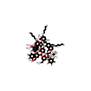 CC(C)(C)OC(=O)[C@](Cc1ccc(OCC=CC=S)cc1)(C(=O)Nc1c(F)c(F)c(F)c(F)c1F)N(c1cc(N(c2ccc(CN)cc2C(=O)O)[C@@](Cc2ccc(OCC=CC=S)cc2)(C(=O)Nc2c(F)c(F)c(F)c(F)c2F)C(=O)OC(C)(C)C)cc(N(c2ccc(CN)cc2C(=O)O)[C@@](Cc2ccc(OCC=CC=S)cc2)(C(=O)Nc2c(F)c(F)c(F)c(F)c2F)C(=O)OC(C)(C)C)c1)c1ccc(CN)cc1C(=O)O